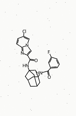 O=C(NC12CC3CC(C1)CC(NC(=O)c1cn4cc(Cl)ccc4n1)(C3)C2)c1cccc(F)c1